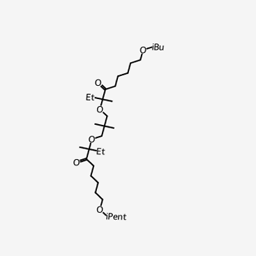 CCCC(C)OCCCCCC(=O)C(C)(CC)OCC(C)(C)COC(C)(CC)C(=O)CCCCCOC(C)CC